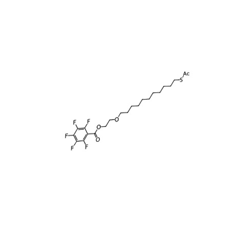 CC(=O)SCCCCCCCCCCCOCCOC(=O)c1c(F)c(F)c(F)c(F)c1F